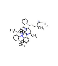 C=CC1=NC(CC(=C)N(C)c2ccccc2Nc2c(C(C)C)cccc2C(C)C)C(CCC(=C)/C=C\C)c2ccccc21